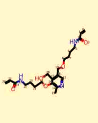 C=CC(=O)NCCCCOCc1cnc(C)c(OCCCCNC(=O)C=C)c1CO